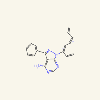 C=C/C=C\C=C(/C=C)n1nc(-c2ccccc2)c2c(N)ncnc21